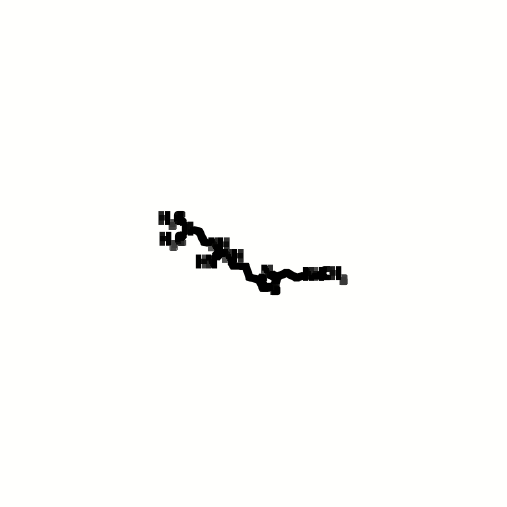 CCNCCc1nc(CCCNC(=N)NCCN(C)C)cs1